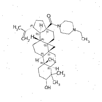 C=C(C)[C@@H]1CC[C@]2(C(=O)N3CCN(CC)CC3)CC[C@@]34C[C@]35CC[C@H]3C(C)(C)C(O)CC[C@]3(C)[C@H]5CC[C@@H]4[C@@H]12